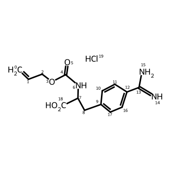 C=CCOC(=O)NC(Cc1ccc(C(=N)N)cc1)C(=O)O.Cl